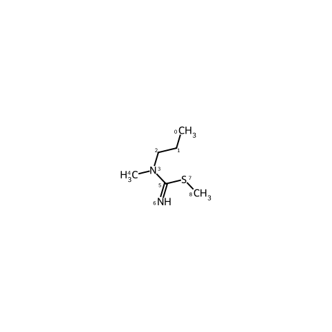 CCCN(C)C(=N)SC